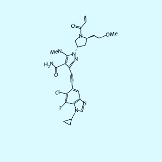 C=CC(=O)N1C[C@@H](n2nc(C#Cc3cc4ncn(C5CC5)c4c(F)c3Cl)c(C(N)=O)c2NC)C[C@@H]1CCOC